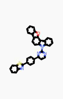 c1ccc2sc(-c3ccc(-c4ccnc(-n5c6ccccc6c6c7oc8ccccc8c7ccc65)n4)cc3)nc2c1